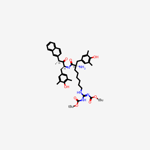 Cc1cc(C[C@H]([N]C(=O)[C@](N)(CCCCCCNC(=NC(=O)OC(C)(C)C)NC(=O)OC(C)(C)C)Cc2cc(C)c(O)c(C)c2)C(=O)[C@H](C)c2ccc3ccccc3c2)cc(C)c1O